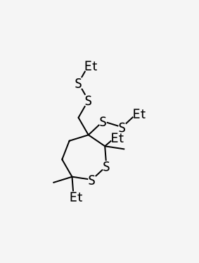 CCSSCC1(SSCC)CCC(C)(CC)SSC1(C)CC